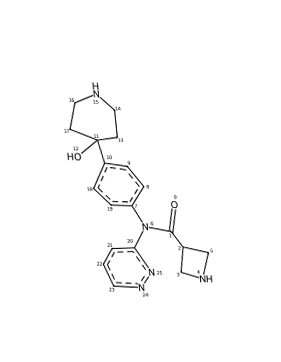 O=C(C1CNC1)N(c1ccc(C2(O)CCNCC2)cc1)c1cccnn1